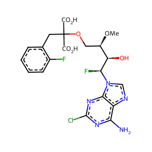 CO[C@H](COC(Cc1ccccc1F)(C(=O)O)C(=O)O)[C@@H](O)[C@H](F)n1cnc2c(N)nc(Cl)nc21